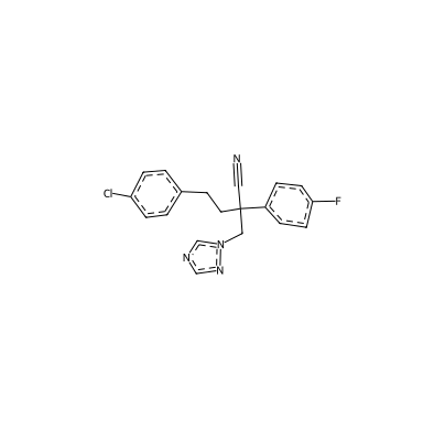 N#CC(CCc1ccc(Cl)cc1)(Cn1cncn1)c1ccc(F)cc1